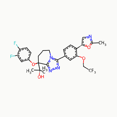 Cc1ncc(-c2ccc(-c3nnc4n3CCCC4(Oc3ccc(F)c(F)c3)C(C)(C)O)cc2OCC(F)(F)F)o1